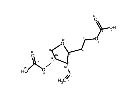 C=C[C@H]1C(CCOC(=O)O)OC[C@H]1OC(=O)O